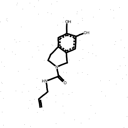 C=CCNC(=O)N1CCc2cc(O)c(O)cc2C1